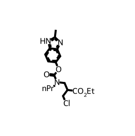 CCCN(CC(CCl)C(=O)OCC)C(=O)Oc1ccc2[nH]c(C)nc2c1